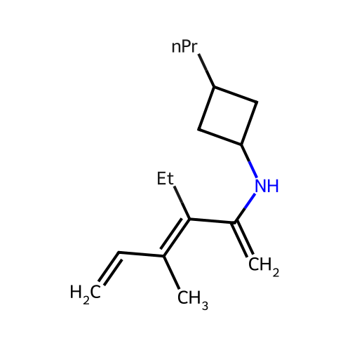 C=C/C(C)=C(\CC)C(=C)NC1CC(CCC)C1